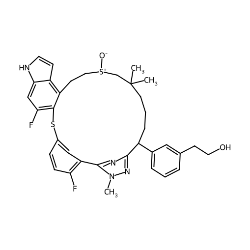 Cn1nc2nc1-c1cc(ccc1F)Sc1c(F)cc3[nH]ccc3c1CC[S+]([O-])CC(C)(C)CCCC2c1cccc(CCO)c1